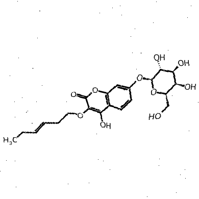 CCC=CCCOc1c(O)c2ccc(O[C@@H]3O[C@H](CO)[C@H](O)[C@H](O)[C@H]3O)cc2oc1=O